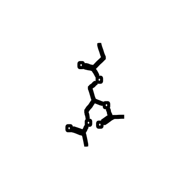 CCC(=O)OCC(COC(C)=O)OC(C)=O